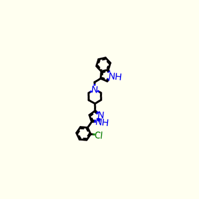 Clc1ccccc1-c1cc(C2CCN(Cc3c[nH]c4ccccc34)CC2)n[nH]1